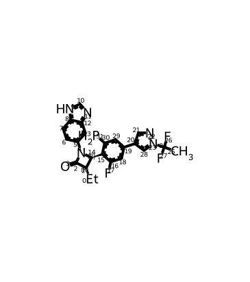 CC[C@H]1C(=O)N(c2ccc3[nH]cnc3c2)[C@H]1c1c(F)cc(-c2cnn(C(C)(F)F)c2)cc1P